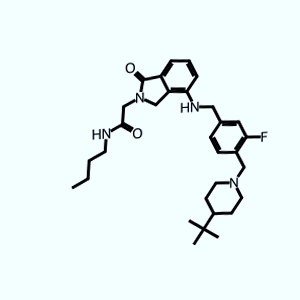 CCCCNC(=O)CN1Cc2c(NCc3ccc(CN4CCC(C(C)(C)C)CC4)c(F)c3)cccc2C1=O